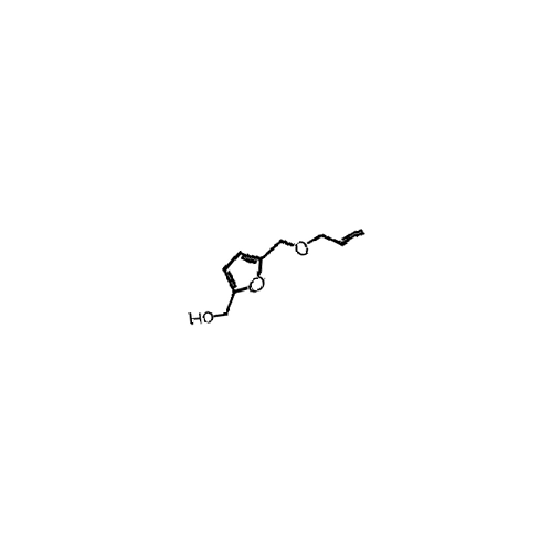 C=CCOCc1ccc(CO)o1